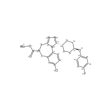 CC(C)(C)OC(=O)N1Cc2cc(Cl)ccc2-n2c(nnc2[C@H]2CC[C@H](Oc3ccc(F)cc3)CC2)C1